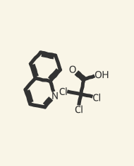 O=C(O)C(Cl)(Cl)Cl.c1ccc2ncccc2c1